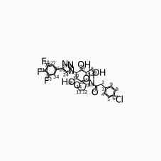 O=C(Cc1ccc(Cl)cc1)N[C@@H]1CCO[C@]12O[C@H](CO)[C@H](O)[C@H](n1cc(-c3cc(F)c(F)c(F)c3)nn1)[C@H]2O